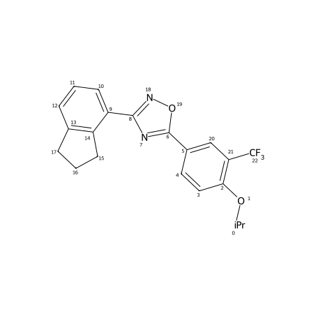 CC(C)Oc1ccc(-c2nc(-c3cccc4c3CCC4)no2)cc1C(F)(F)F